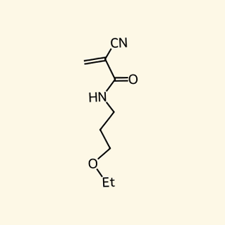 C=C(C#N)C(=O)NCCCOCC